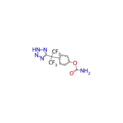 NC(=O)Oc1ccc(C(c2nn[nH]n2)(C(F)(F)F)C(F)(F)F)cc1